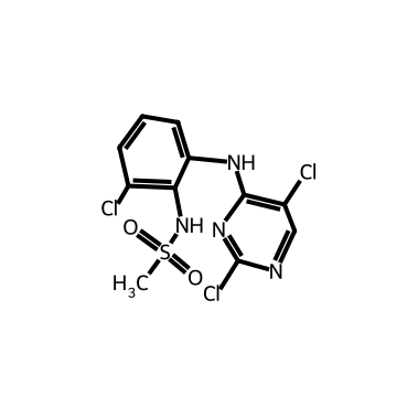 CS(=O)(=O)Nc1c(Cl)cccc1Nc1nc(Cl)ncc1Cl